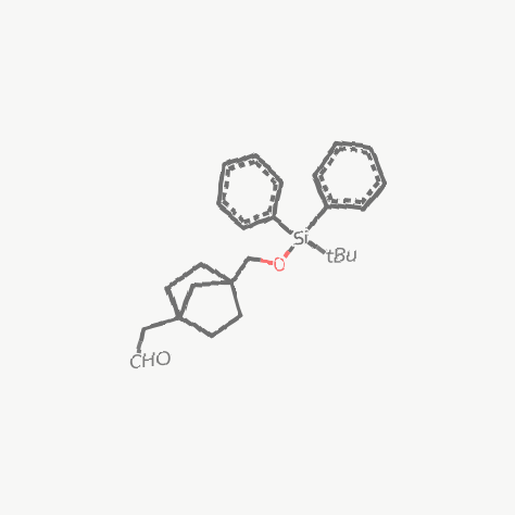 CC(C)(C)[Si](OCC12CCC(CC=O)(CC1)C2)(c1ccccc1)c1ccccc1